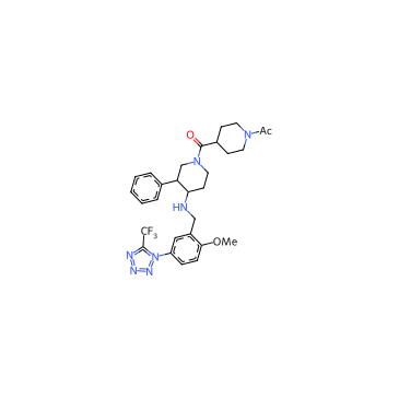 COc1ccc(-n2nnnc2C(F)(F)F)cc1CNC1CCN(C(=O)C2CCN(C(C)=O)CC2)CC1c1ccccc1